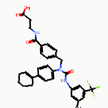 Cc1cc(NC(=O)N(Cc2ccc(C(=O)NCCC(=O)O)cc2)c2ccc(C3=CCCCC3)cc2)cc(C(F)(F)F)c1